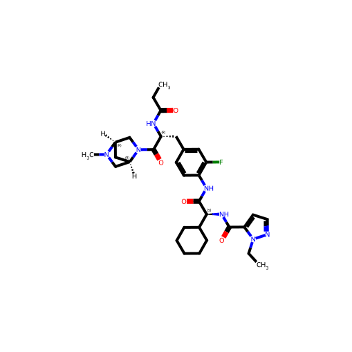 CCC(=O)N[C@H](Cc1ccc(NC(=O)[C@@H](NC(=O)c2ccnn2CC)C2CCCCC2)c(F)c1)C(=O)N1C[C@H]2C[C@@H]1CN2C